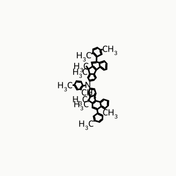 Cc1ccc(N(c2ccc3c(c2)C(C)(C)c2cc(-c4cc(C)ccc4C)c4ccccc4c2-3)c2ccc3c(c2)C(C)(C)c2cc(-c4cc(C)ccc4C)c4ccccc4c2-3)c(C)c1